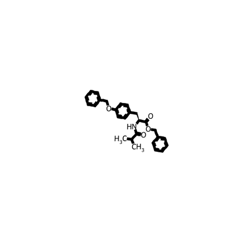 CC(C)C(=O)N[C@@H](Cc1ccc(OCc2ccccc2)cc1)C(=O)OCc1ccccc1